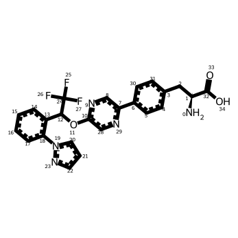 N[C@@H](Cc1ccc(-c2cnc(OC(c3ccccc3-n3cccn3)C(F)(F)F)cn2)cc1)C(=O)O